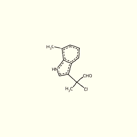 Cc1cccc2c(C(C)(Cl)C=O)c[nH]c12